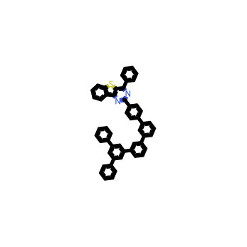 c1ccc(-c2cc(-c3ccccc3)cc(-c3cccc(-c4cccc(-c5ccc(-c6nc(-c7ccccc7)c7sc8ccccc8c7n6)cc5)c4)c3)c2)cc1